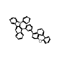 c1ccc(-n2c3ccccc3c3cc4ccccc4c(-c4cccc(-c5ccc6c7c(cccc57)-c5ccccc5O6)c4)c32)cc1